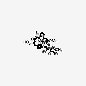 CC[C@H](C)C(C(CC(=O)N1CCC[C@H]1C(OC)C(C)C(=O)N[C@@H](Cc1ccccc1)C(=O)O)OC)N(C)C(=O)[C@@H](NC(=O)C(C(C)C)N(C)C)C(C)C